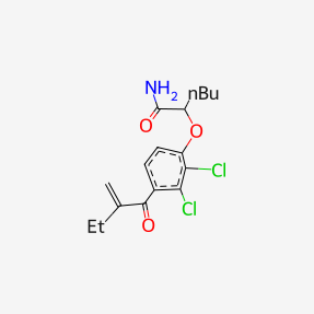 C=C(CC)C(=O)c1ccc(OC(CCCC)C(N)=O)c(Cl)c1Cl